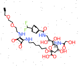 C#CCOCCOCCNc1c(NCCCCCCO[C@]2(C(=O)O)C[C@H](O)[C@@H](NC(=O)CO)[C@H]([C@H](O)[C@H](O)CNC(=O)c3ccc(C(F)F)cc3)O2)c(=O)c1=O